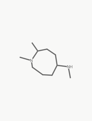 CNC1CCCN(C)C(C)CC1